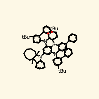 CC(C)(C)c1ccc(N2c3ccc(-c4ccccc4)cc3B3c4ccc(C(C)(C)C)cc4N(c4ccc(C(C)(C)C)cc4-c4ccccc4)c4cc(N5c6ccccc6C6(C)CCCCCCC56C)cc2c43)c(-c2ccccc2)c1